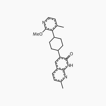 COc1nccc(C)c1C1CCC(c2cc3ccc(C)nc3[nH]c2=O)CC1